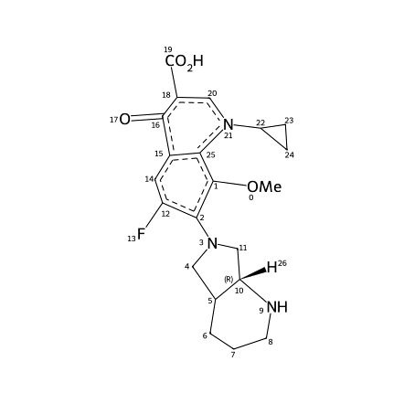 COc1c(N2CC3CCCN[C@H]3C2)c(F)cc2c(=O)c(C(=O)O)cn(C3CC3)c12